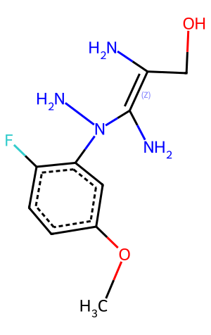 COc1ccc(F)c(N(N)/C(N)=C(\N)CO)c1